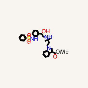 COC(=O)c1cn(CCC(C)(C)NCC(O)c2cccc(NS(=O)(=O)c3ccccc3)c2)c2ccccc12